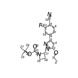 CCOc1cc(-c2ccc(C#N)c(F)c2)nn1C1CCN1C(=O)OC(C)(C)C